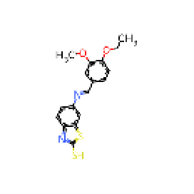 CCOc1ccc(C=Nc2ccc3nc(S)sc3c2)cc1OC